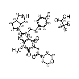 Cn1c(=O)n(CC(=O)N2CCOCC2)c(=O)c2c1nc(N1CCC3CNCC31)n2CCc1ccc(F)cc1.O=C(O)C(F)(F)F